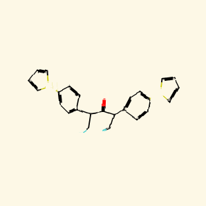 O=C(C(CF)c1ccc([SH]2C=CC=C2)cc1)C(CF)c1ccc([SH]2C=CC=C2)cc1